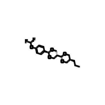 CCC[C@H]1CO[C@H]([C@H]2CO[C@H](c3ccc(OC(F)F)cc3)OC2)OC1